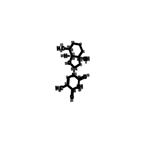 Cc1cn([C@H]2C[C@]3(O)CCC[C@H](C)[C@@H]3O2)c(=O)[nH]c1=O